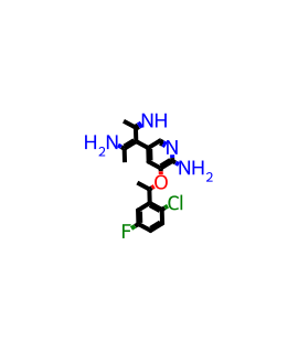 CC(=N)/C(=C(/C)N)c1cnc(N)c(OC(C)c2cc(F)ccc2Cl)c1